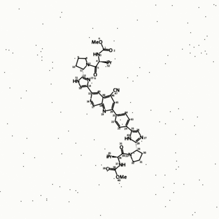 COC(=O)N[C@H](C(=O)N1CCC[C@H]1c1nc(-c2ccc3nc(-c4ccc(-c5cnc([C@@H]6CCCN6C(=O)[C@@H](NC(=O)OC)C(C)C)[nH]5)cc4)cc(C#N)c3c2)c[nH]1)C(C)C